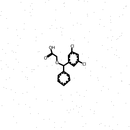 O=C(O)COC(c1ccccc1)c1cc(Cl)cc(Cl)c1